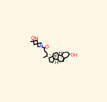 CC(CCC(=O)N1CC2(C1)CC(C)(O)C2)[C@H]1CC[C@H]2[C@@H]3CC=C4C[C@@H](O)CC[C@]4(C)[C@H]3CC[C@]12C